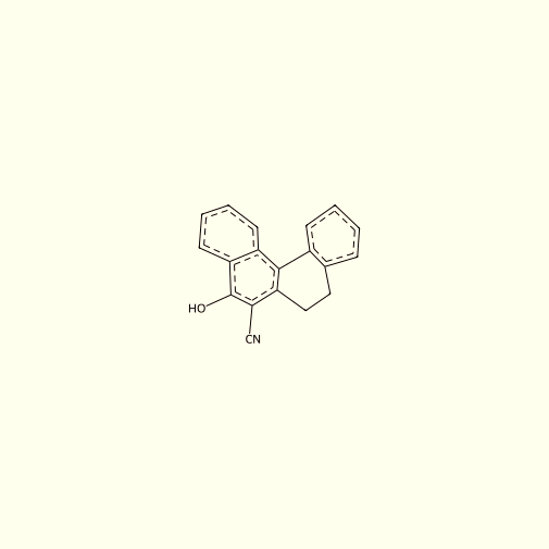 N#Cc1c2c(c3ccccc3c1O)-c1ccccc1CC2